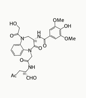 COc1cc(C(=O)N[C@H]2CN(C(=O)CO)c3ccccc3N(CC(=O)N[C@H](C=O)CC(C)=O)C2=O)cc(OC)c1O